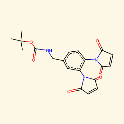 CC(C)(C)OC(=O)NCc1ccc(N2C(=O)C=CC2=O)c(N2C(=O)C=CC2=O)c1